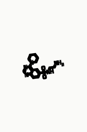 NCCNS(=O)(=O)c1ccc2ncnc(N3CCCCC3)c2c1